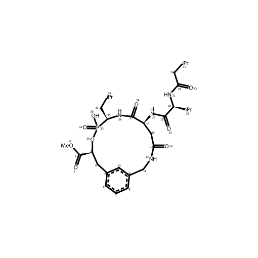 COC(=O)[C@@H]1Cc2cccc(c2)CNC(=O)C[C@H](NC(=O)[C@@H](NC(=O)CC(C)C)C(C)C)C(=O)N[C@H](CC(C)C)P(=O)(O)O1